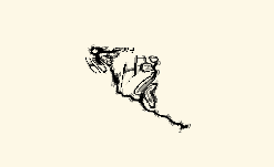 CCCCCCCCC(CCCCCCCC)C(=O)OCC(O)CO.O=C(O)c1ccccc1C(=O)O